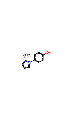 O=Cc1cccn1-c1ccc(O)cc1